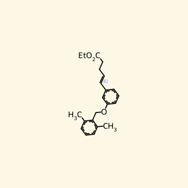 CCOC(=O)CC/C=C/c1cccc(OCc2c(C)cccc2C)c1